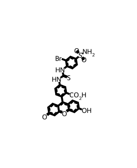 NS(=O)(=O)c1ccc(NC(=S)Nc2ccc(-c3c4ccc(=O)cc-4oc4cc(O)ccc34)c(C(=O)O)c2)c(Br)c1